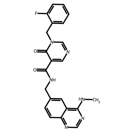 CNc1ncnc2ccc(CNC(=O)c3cncn(Cc4ccccc4F)c3=O)cc12